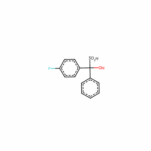 O=S(=O)(O)C(O)(c1ccccc1)c1ccc(F)cc1